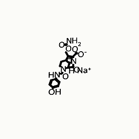 NC(=O)OCC1=C(C(=O)[O-])N2C(=O)[C@@H]3[C@H]2C1CCN3C(=O)Nc1ccc(O)cc1.[Na+]